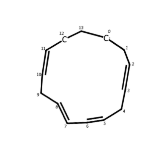 [CH]1C/C=C\C/C=C/C=C/C/C=C\CC1